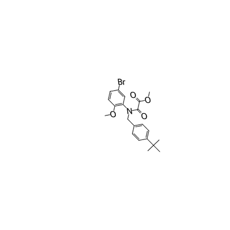 COC(=O)C(=O)N(Cc1ccc(C(C)(C)C)cc1)c1cc(Br)ccc1OC